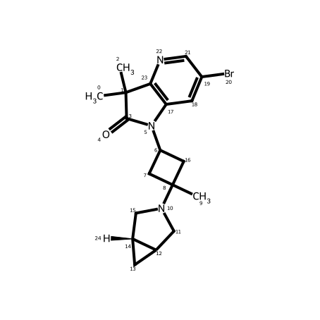 CC1(C)C(=O)N(C2CC(C)(N3CC4C[C@@H]4C3)C2)c2cc(Br)cnc21